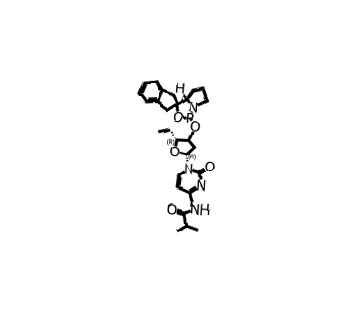 CC[C@H]1O[C@@H](n2ccc(NC(=O)C(C)C)nc2=O)CC1OP1OC2(Cc3ccccc3C2)[C@@H]2CCCN21